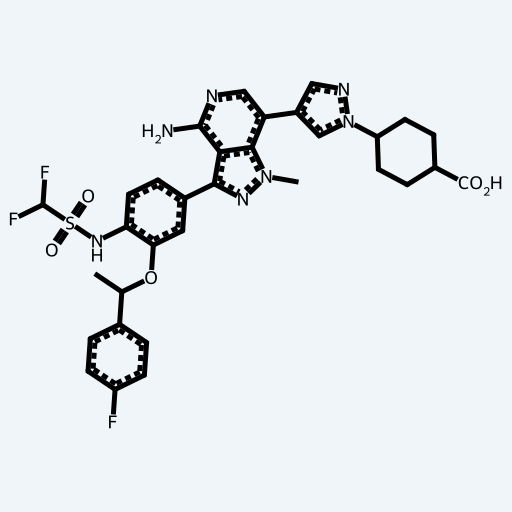 CC(Oc1cc(-c2nn(C)c3c(-c4cnn(C5CCC(C(=O)O)CC5)c4)cnc(N)c23)ccc1NS(=O)(=O)C(F)F)c1ccc(F)cc1